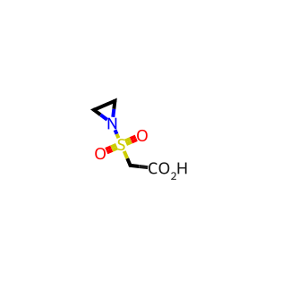 O=C(O)CS(=O)(=O)N1CC1